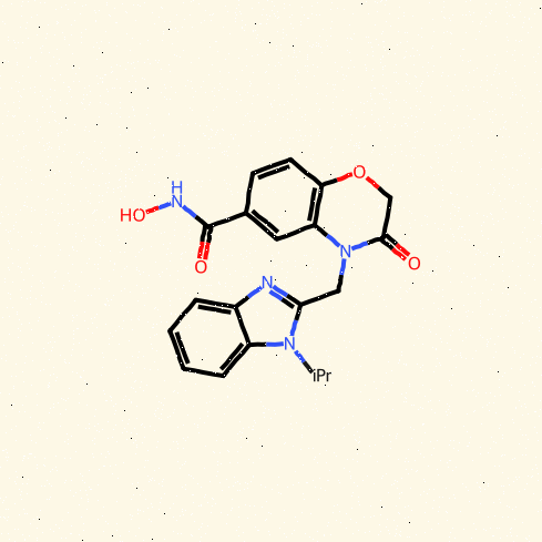 CC(C)n1c(CN2C(=O)COc3ccc(C(=O)NO)cc32)nc2ccccc21